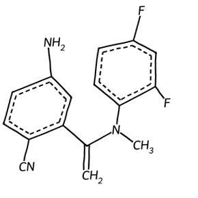 C=C(c1cc(N)ccc1C#N)N(C)c1ccc(F)cc1F